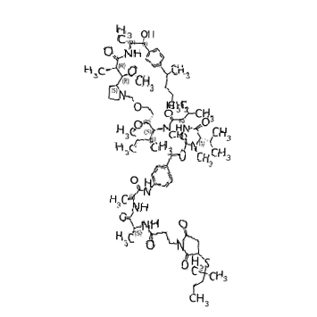 CCCC(C)c1ccc([C@H](O)[C@@H](C)NC(=O)[C@H](C)[C@@H](OC)[C@@H]2CCCN2COCC[C@@H](OC)[C@H]([C@@H](C)CC)N(C)C(=O)[C@@H](NC(=O)[C@H](C(C)C)N(C)C(=O)OCc2ccc(NC(=O)[C@H](C)NC(=O)[C@H](C)NC(=O)CCN3C(=O)CC(SC(C)(C)CCC)C3=O)cc2)C(C)C)cc1